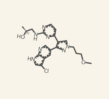 COCCCn1cc(-c2ccnc(NC[C@H](C)O)n2)c(-c2cnc3[nH]cc(Cl)c3c2)n1